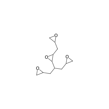 C1OC1CC(CC1CO1)C1OC1CC1CO1